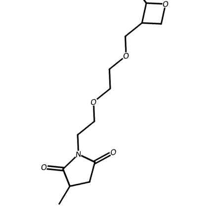 CC1CC(=O)N(CCOCCOCC2COC2C)C1=O